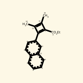 CCOC(=O)C1=C(c2ccc3ccccc3c2)C(C)=C1C